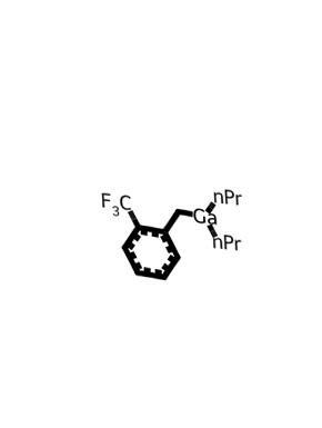 CC[CH2][Ga]([CH2]CC)[CH2]c1ccccc1C(F)(F)F